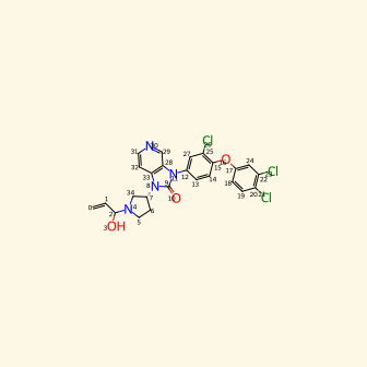 C=CC(O)N1CC[C@@H](n2c(=O)n(-c3ccc(Oc4ccc(Cl)c(Cl)c4)c(Cl)c3)c3cnccc32)C1